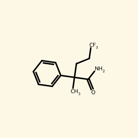 CC(CCC(F)(F)F)(C(N)=O)c1ccccc1